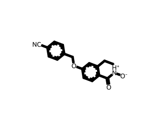 N#Cc1ccc(COc2ccc3c(c2)CC[NH+]([O-])C3=O)cc1